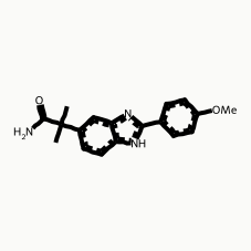 COc1ccc(-c2nc3cc(C(C)(C)C(N)=O)ccc3[nH]2)cc1